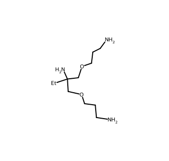 CCC(N)(COCCCN)COCCCN